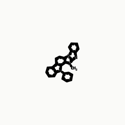 Cn1c2c3c(ccc2n2c4ccccc4nc12)c1ccccc1n3-c1ccccc1